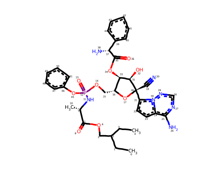 CCC(CC)COC(=O)[C@H](C)NP(=O)(OC[C@H]1O[C@@](C#N)(c2ccc3c(N)ncnn23)[C@H](O)[C@@H]1OC(=O)[C@H](N)c1ccccc1)Oc1ccccc1